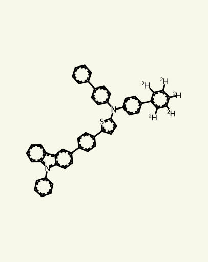 [2H]c1c([2H])c([2H])c(-c2ccc(N(c3ccc(-c4ccccc4)cc3)c3ccc(-c4ccc(-c5ccc6c(c5)c5ccccc5n6-c5ccccc5)cc4)s3)cc2)c([2H])c1[2H]